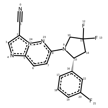 N#Cc1cnc2ccc(N3CC(F)(F)C[C@@H]3c3cccc(F)c3)nn12